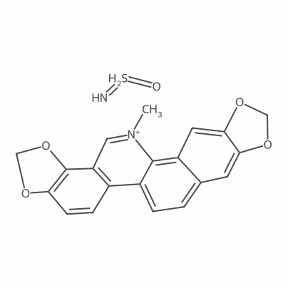 C[n+]1cc2c3c(ccc2c2ccc4cc5c(cc4c21)OCO5)OCO3.N=[SH2]=O